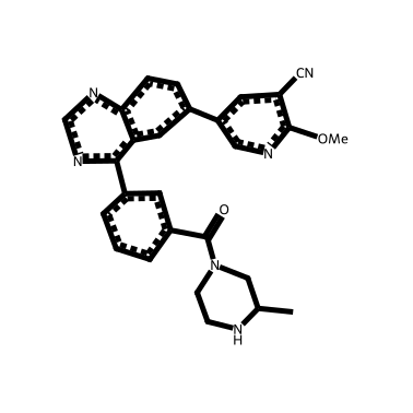 COc1ncc(-c2ccc3ncnc(-c4cccc(C(=O)N5CCNC(C)C5)c4)c3c2)cc1C#N